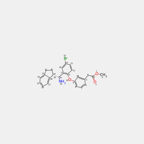 COC(=O)Cc1cccc(Oc2ccc(Br)cc2C(N)[C@H]2CCc3ccccc32)c1